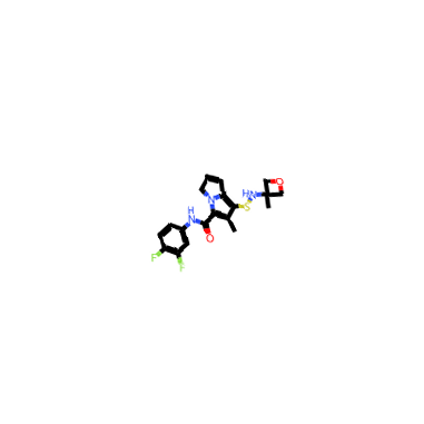 Cc1c(SNC2(C)COC2)c2n(c1C(=O)Nc1ccc(F)c(F)c1)CC=C2